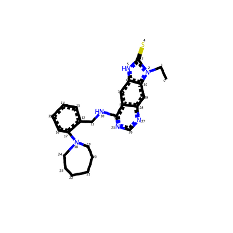 CCn1c(=S)[nH]c2cc3c(NCc4ccccc4N4CCCCCC4)ncnc3cc21